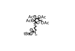 CC(=O)OCC1O[C@@H](SCCCN(C)C(=O)OC(C)(C)C)C(OC(C)=O)C(OC(C)=O)C1OC(C)=O